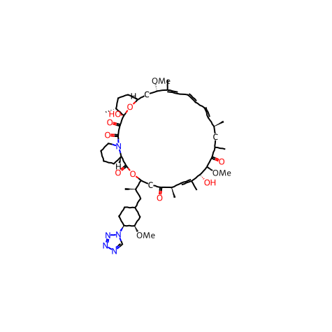 COC1C(=O)C(C)C[C@H](C)/C=C/C=C/C=C(\C)[C@@H](OC)C[C@@H]2CC[C@@H](C)[C@@](O)(O2)C(=O)C(=O)N2CCCC[C@H]2C(=O)OC([C@H](C)CC2CC[C@H](n3cnnn3)[C@H](OC)C2)CC(=O)[C@H](C)/C=C(\C)[C@H]1O